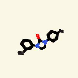 CC(=O)c1ccc(N2CCN(c3cccc(C(C)(C)C)c3)C2=O)cc1